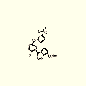 CCS(=O)(=O)c1cccc(Oc2ccc(F)c(-c3ccnc4c(OC)cccc34)c2)c1